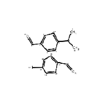 CC(C)c1ccc(C=O)cc1.O=Cc1ccc(I)cc1